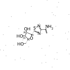 C=C(N)c1nsc([C@@H]2O[C@H](CO)[C@@H](O)[C@H]2O)n1